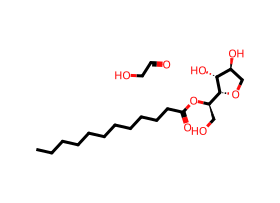 CCCCCCCCCCCC(=O)O[C@H](CO)[C@H]1OC[C@H](O)[C@H]1O.O=CCO